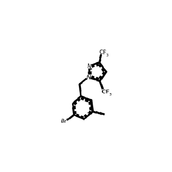 Cc1[c]c(Br)cc(Cn2nc(C(F)(F)F)cc2C(F)(F)F)c1